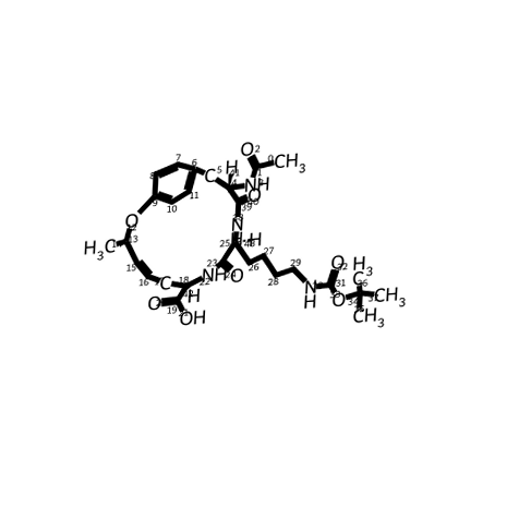 CC(=O)N[C@H]1Cc2ccc(cc2)OC(C)/C=C\C[C@@H](C(=O)O)NC(=O)[C@H](CCCCNC(=O)OC(C)(C)C)NC1=O